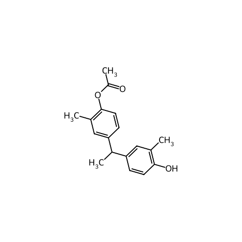 CC(=O)Oc1ccc(C(C)c2ccc(O)c(C)c2)cc1C